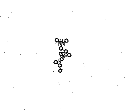 c1ccc(-c2ccc3c(c2)c2ccccc2n3-c2ccc3oc4c(-c5c(-c6cccc(-c7nc(-c8ccccc8)nc(-c8ccccc8)n7)c6)ccc6c5oc5ccccc56)cccc4c3c2)cc1